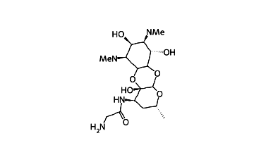 CN[C@@H]1[C@H](O)[C@H](NC)C2O[C@]3(O)C(OC2[C@H]1O)O[C@H](C)C[C@H]3NC(=O)CN